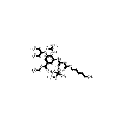 CCCCCCOC(=O)NC(=NOC(C)(C)OC)N[C@H]1CC(C(=O)OCC)=C[C@@H](OC(CC)CC)[C@@H]1NC(C)=O